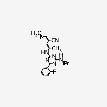 C=N/C=C(C#N)\C=C(/C)Nc1nc(NC(C)C)nc(-c2ccccc2F)n1